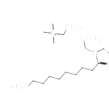 CCCCCCCCCCCCCCCCCCC1=NCCN1CC(=O)O.C[N+](C)(C)CC(=O)[O-]